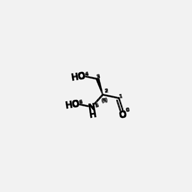 O=C[C@H](CO)NO